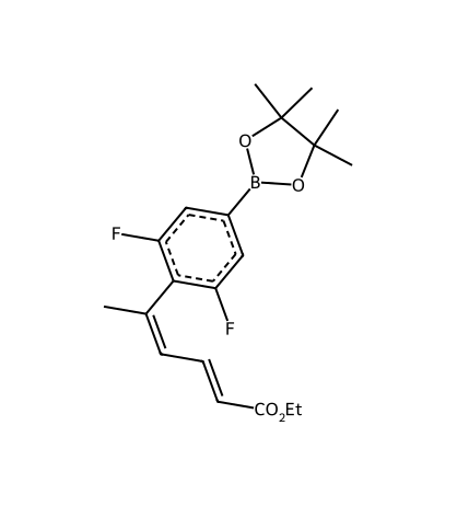 CCOC(=O)/C=C/C=C(/C)c1c(F)cc(B2OC(C)(C)C(C)(C)O2)cc1F